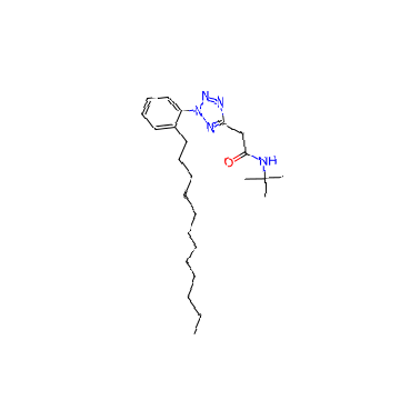 CCCCCCCCCCCCc1ccccc1-n1nnc(CC(=O)NC(C)(C)C)n1